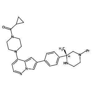 CC(C)N1CCN[C@](C)(c2ccc(-c3cc4c(N5CCN(C(=O)C6CC6)CC5)ccnn4c3)cc2)C1